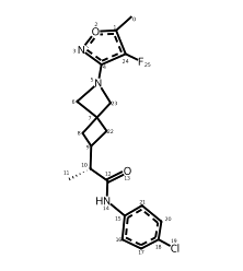 Cc1onc(N2CC3(CC([C@@H](C)C(=O)Nc4ccc(Cl)cc4)C3)C2)c1F